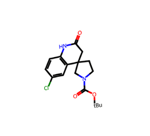 CC(C)(C)OC(=O)N1CCC2(CC(=O)Nc3ccc(Cl)cc32)C1